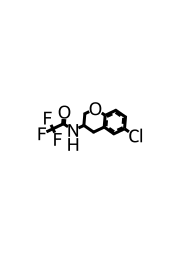 O=C(NC1COc2ccc(Cl)cc2C1)C(F)(F)F